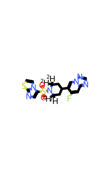 [2H]C1([2H])CC(c2cn3ncnc3cc2F)CC([2H])([2H])N1S(=O)(=O)c1cnc2sccn12